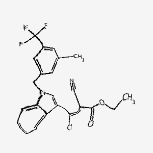 CCOC(=O)/C(C#N)=C(\Cl)c1cn(Cc2cc(C)cc(C(F)(F)F)c2)c2ccccc12